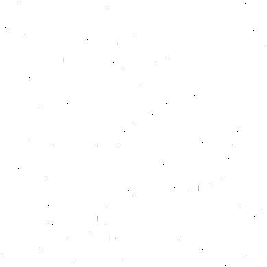 C=N/C=C(\C=C(\C)C/C=C\C)C/C=C\C=C(\C)C(=C)C